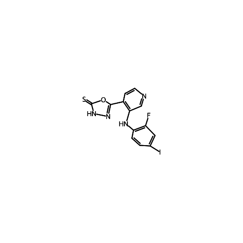 Fc1cc(I)ccc1Nc1cnccc1-c1n[nH]c(=S)o1